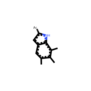 CC(=O)c1cc2cc(C)c(C)c(C)c2[nH]1